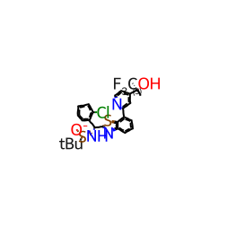 CC(C)(C)[S+]([O-])NC(c1nc2cccc(-c3cc([C@](C)(O)C(F)(F)F)ccn3)c2s1)c1ccccc1Cl